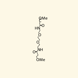 COCCC(=O)NCCOCCOCCNC(=O)CCOC